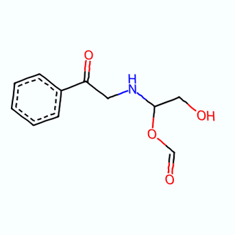 O=COC(CO)NCC(=O)c1ccccc1